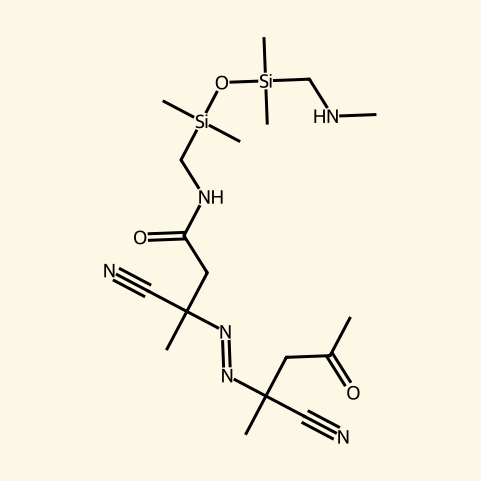 CNC[Si](C)(C)O[Si](C)(C)CNC(=O)CC(C)(C#N)N=NC(C)(C#N)CC(C)=O